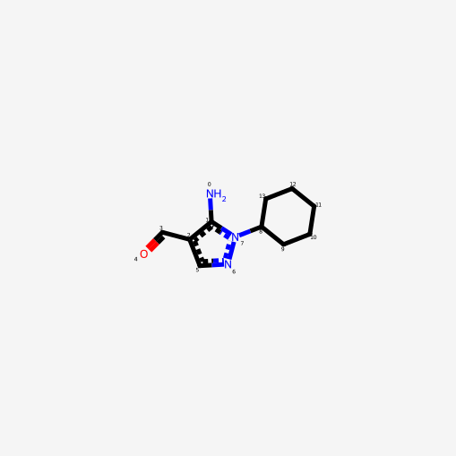 Nc1c(C=O)cnn1C1CCCCC1